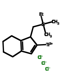 CC[Si](C)(C)CC1[C]([Ti+3])=CC2=C1CCCC2.[Cl-].[Cl-].[Cl-]